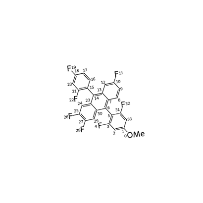 COc1cc(F)c(-c2c3ccc(F)cc3c(-c3ccc(F)cc3F)c3cc(F)c(F)cc23)c(F)c1